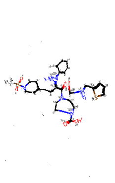 CS(=O)(=O)N1CCC(C[C@@H](NC2CCCCC2)C(=O)N2CCN(C(=O)O)C[C@H]2C(=O)NCc2cccs2)CC1